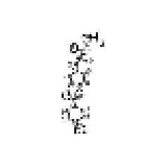 C=CC(=O)c1ccc2cc(OC(=O)C3CCC(CC)CC3)ccc2c1